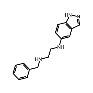 c1ccc(CNCCNc2ccc3[nH]ncc3c2)cc1